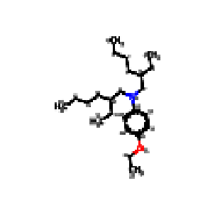 CCCCC(CC)CN(CC(CC)CCCC)c1ccc(OCC)cc1